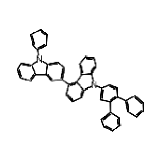 c1ccc(-c2ccc(-n3c4ccccc4c4c(-c5ccc6c(c5)c5ccccc5n6-c5ccccc5)cccc43)cc2-c2ccccc2)cc1